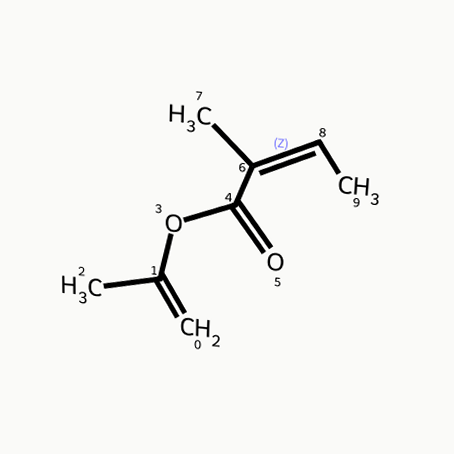 C=C(C)OC(=O)/C(C)=C\C